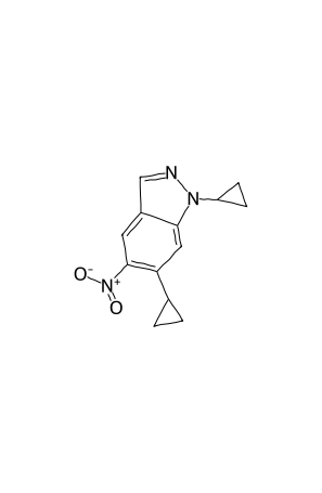 O=[N+]([O-])c1cc2cnn(C3CC3)c2cc1C1CC1